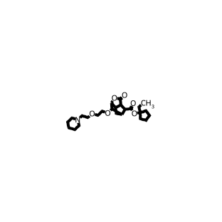 CCC1(OC(=O)C2C3CC4C(OC(=O)C42)C3OCCOCCN2CCCCC2)CCCC1